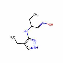 CCc1c[nH]nc1NC(C=NO)CC